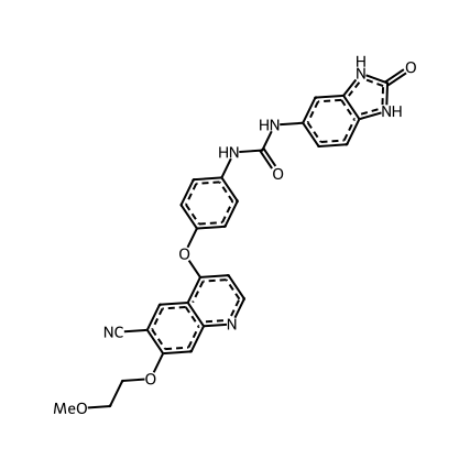 COCCOc1cc2nccc(Oc3ccc(NC(=O)Nc4ccc5[nH]c(=O)[nH]c5c4)cc3)c2cc1C#N